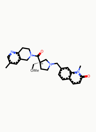 COC[C@@]1(C(=O)N2CCc3ncc(C)cc3C2)CCN(Cc2ccc3ccc(=O)n(C)c3c2)C1